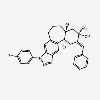 CC[C@@]12C/C(=C\c3ccccc3)[C@](O)(C(F)(F)F)C[C@H]1CCCc1cc3c(cnn3-c3ccc(F)cc3)cc12